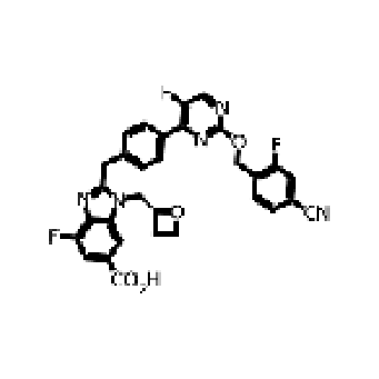 N#Cc1ccc(COc2ncc(F)c(-c3ccc(Cc4nc5c(F)cc(C(=O)O)cc5n4C[C@@H]4CCO4)cc3)n2)c(F)c1